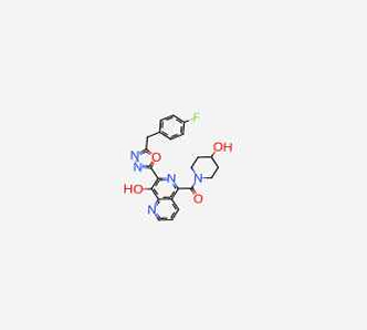 O=C(c1nc(-c2nnc(Cc3ccc(F)cc3)o2)c(O)c2ncccc12)N1CCC(O)CC1